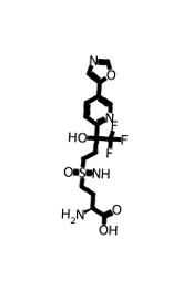 N=S(=O)(CC[C@H](N)C(=O)O)CCC(O)(c1ccc(-c2cnco2)cn1)C(F)(F)F